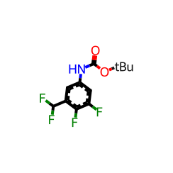 CC(C)(C)OC(=O)Nc1cc(F)c(F)c(C(F)F)c1